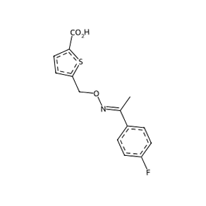 CC(=NOCc1ccc(C(=O)O)s1)c1ccc(F)cc1